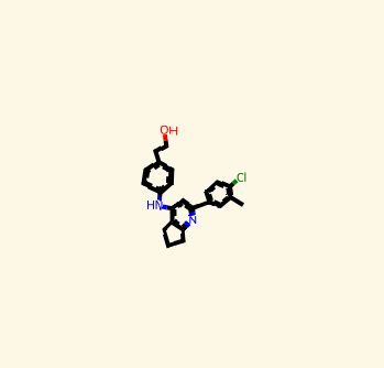 Cc1cc(-c2cc(Nc3ccc(CCO)cc3)c3c(n2)CCC3)ccc1Cl